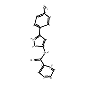 Cc1ccc(-c2cc(NC(=O)c3ccccn3)sn2)cc1